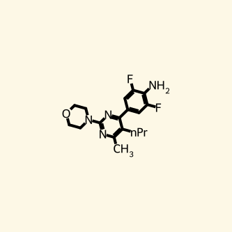 CCCc1c(C)nc(N2CCOCC2)nc1-c1cc(F)c(N)c(F)c1